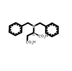 O=C(O)C[C@H](C(=O)O)N(Cc1ccccc1)Cc1ccccc1